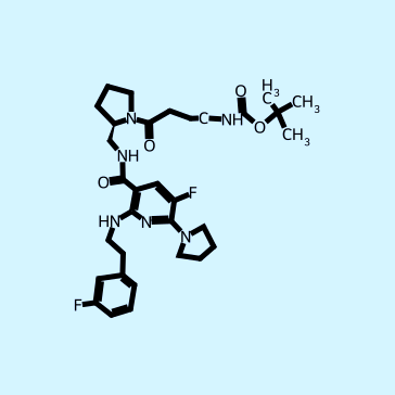 CC(C)(C)OC(=O)NCCCC(=O)N1CCC[C@@H]1CNC(=O)c1cc(F)c(N2CCCC2)nc1NCCc1cccc(F)c1